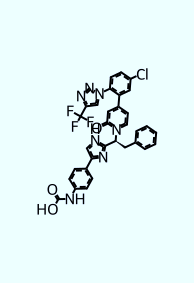 O=C(O)Nc1ccc(-c2c[nH]c([C@H](Cc3ccccc3)n3ccc(-c4cc(Cl)ccc4-n4cc(C(F)(F)F)nn4)cc3=O)n2)cc1